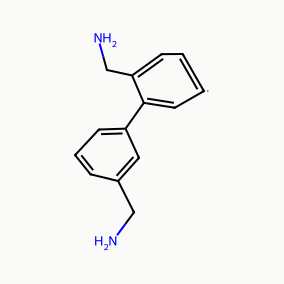 NCc1cccc(-c2c[c]ccc2CN)c1